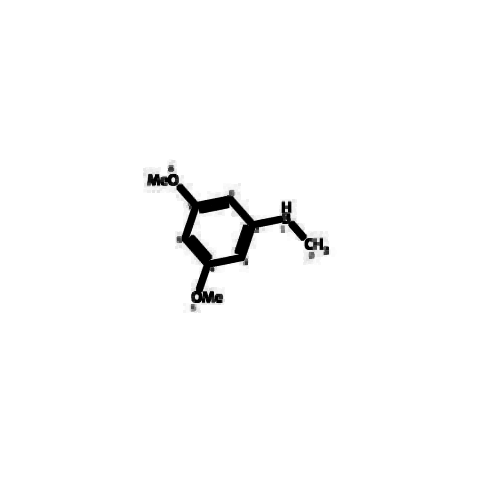 CBc1cc(OC)cc(OC)c1